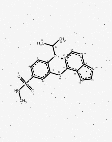 CNS(=O)(=O)c1ccc(OC(C)C)c(Nc2[nH]cnc3ncnc2-3)c1